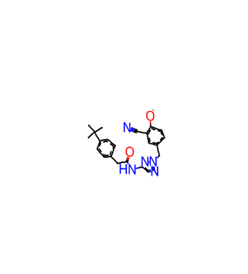 COc1ccc(Cn2ncc(NC(=O)Cc3ccc(C(C)(C)C)cc3)n2)cc1C#N